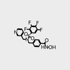 O=C(NO)c1ccc(CN(Cc2cccnc2)S(=O)(=O)c2cc(F)c(F)c(F)c2F)cc1